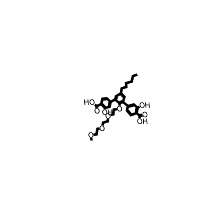 CCCCCCc1cc(-c2ccc(C(=O)O)c(O)c2)c(OCCOCCOCCOC)c(-c2ccc(C(=O)O)c(O)c2)c1